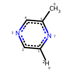 [2H]c1cncc(C)n1